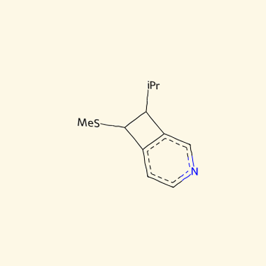 CSC1c2ccncc2C1C(C)C